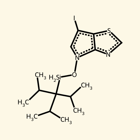 CC(C)C([SiH2]On1cc(I)c2scnc21)(C(C)C)C(C)C